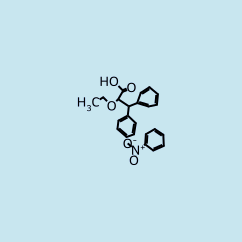 CCOC(C(=O)O)C(c1ccccc1)c1ccccc1.O=[N+]([O-])c1ccccc1